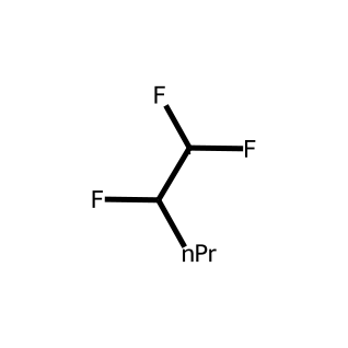 CCCC(F)[C](F)F